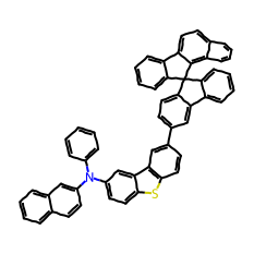 c1ccc(N(c2ccc3ccccc3c2)c2ccc3sc4ccc(-c5ccc6c(c5)-c5ccccc5C65c6ccccc6-c6ccc7ccccc7c65)cc4c3c2)cc1